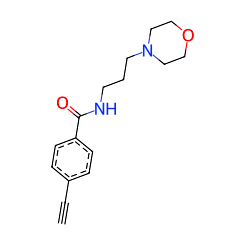 C#Cc1ccc(C(=O)NCCCN2CCOCC2)cc1